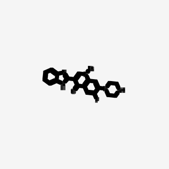 CCn1cc(-c2nc3ccccc3[nH]2)c(=O)c2cc(F)c(N3CCNCC3)cc21